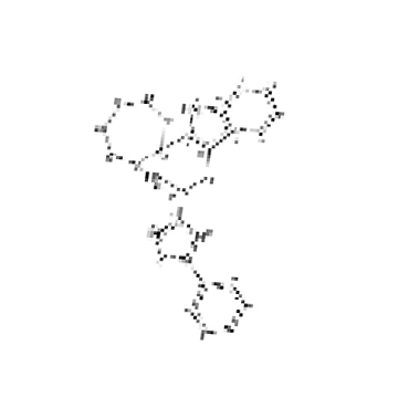 c1ccc(-c2c[nH]c([C@H]3Cc4c([nH]c5ccccc45)C4(CCCCCC4)N3)n2)cc1